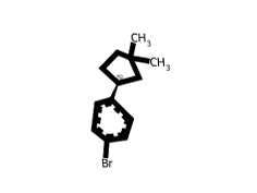 CC1(C)CC[C@H](c2ccc(Br)cc2)C1